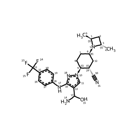 C[C@H]1C[C@H](C)N1[C@@H]1CC[C@H](n2cc(C(N)O)c(Nc3ccc(C(F)(F)F)cc3)n2)[C@@H](C#N)C1